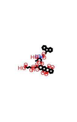 COc1cccc2c1C(=O)c1cc3c(c(O)c1C2=O)C[C@@](O)(C(=O)COC(=O)CCC(=O)O)C[C@@H]3OC1CC(NC(=O)OCC2c3ccccc3-c3ccccc32)C(O)C(C)O1